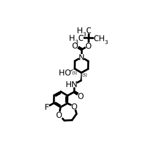 CC(C)(C)OC(=O)N1CC[C@@H](CNC(=O)c2ccc(F)c3c2OCCCO3)[C@H](O)C1